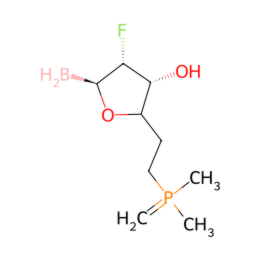 B[C@@H]1OC(CCP(=C)(C)C)[C@@H](O)[C@H]1F